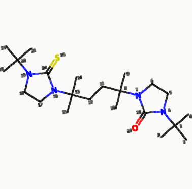 CC(C)(C)N1CCN(C(C)(C)CCC(C)(C)N2CCN(C(C)(C)C)C2=S)C1=O